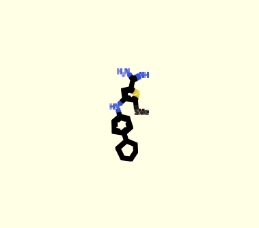 CSc1sc(C(=N)N)cc1Nc1ccc(C2CCCCC2)cc1